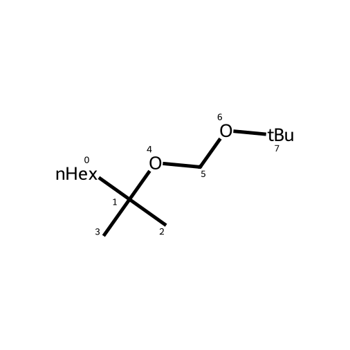 CCCCCCC(C)(C)OCOC(C)(C)C